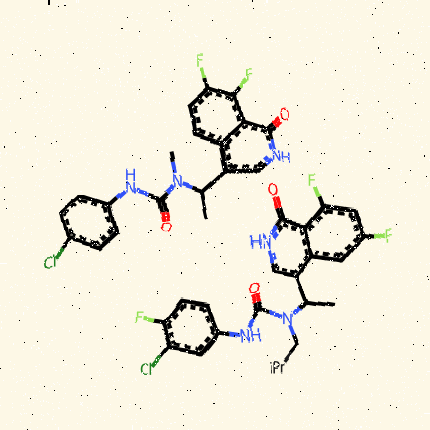 CC(C)CN(C(=O)Nc1ccc(F)c(Cl)c1)C(C)c1c[nH]c(=O)c2c(F)cc(F)cc12.CC(c1c[nH]c(=O)c2c(F)c(F)ccc12)N(C)C(=O)Nc1ccc(Cl)cc1